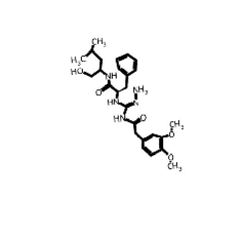 COc1ccc(CC(=O)NC(=NN)N[C@H](Cc2ccccc2)C(=O)NC(CO)CC(C)C)cc1OC